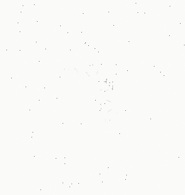 CCc1c(C=COC)cccc1-c1nnc(-c2ccc(OC(C)C)c(Cl)c2)s1